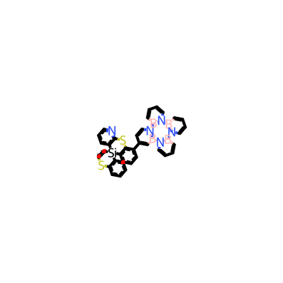 C1=CB2N(C=C1)B1C=CC=CN1B1C=C(c3cccc4c3Sc3ncccc3[Si]43c4ccccc4Sc4ccccc43)C=CN1B1C=CC=CN21